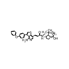 CC(C)(C)C1[C@@H](CNC(=O)C=Cc2cnc(N)c3c(-c4ccc(Oc5ccccc5)cc4)csc23)CCN1C(=O)O